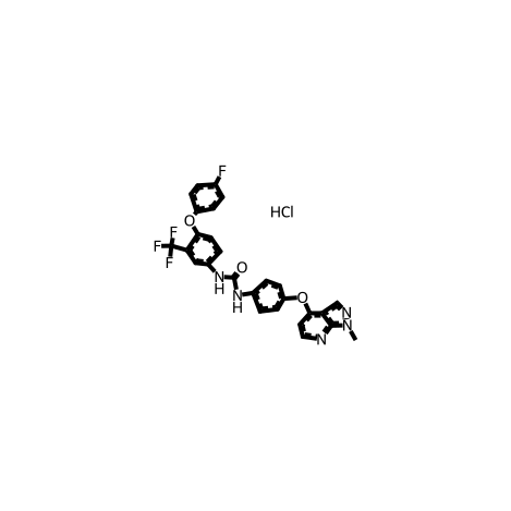 Cl.Cn1ncc2c(Oc3ccc(NC(=O)Nc4ccc(Oc5ccc(F)cc5)c(C(F)(F)F)c4)cc3)ccnc21